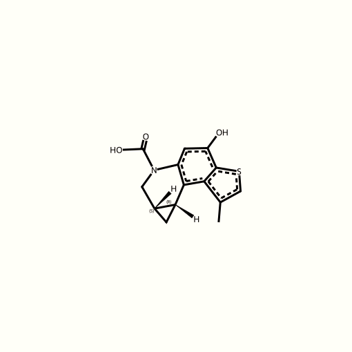 Cc1csc2c(O)cc3c(c12)[C@@H]1C[C@@H]1CN3C(=O)O